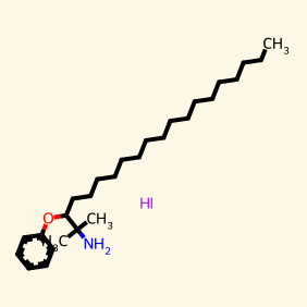 CCCCCCCCCCCCCCCCCC(Oc1ccccc1)C(C)(C)N.I